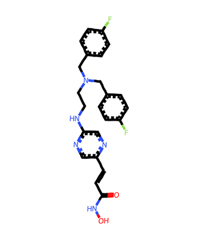 O=C(/C=C/c1cnc(NCCN(Cc2ccc(F)cc2)Cc2ccc(F)cc2)cn1)NO